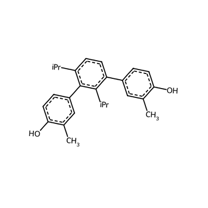 Cc1cc(-c2ccc(C(C)C)c(-c3ccc(O)c(C)c3)c2C(C)C)ccc1O